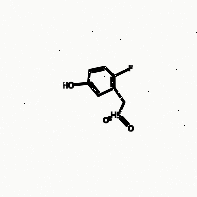 O=[SH](=O)Cc1cc(O)ccc1F